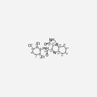 CCc1ccc(Cl)c(CC)c1NC(=O)c1nc2ccccc2nc1C(N)=O